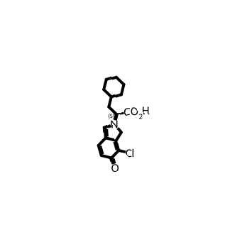 O=C1C=CC2=CN([C@@H](CC3CCCCC3)C(=O)O)CC2=C1Cl